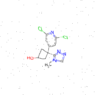 Cn1cnnc1C1(c2cc(Cl)nc(Cl)c2)CC(O)C1